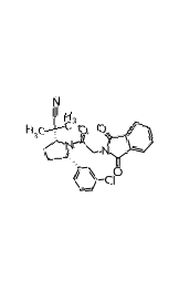 CC(C)(C#N)[C@H]1CC[C@@H](c2cccc(Cl)c2)N1C(=O)CN1C(=O)c2ccccc2C1=O